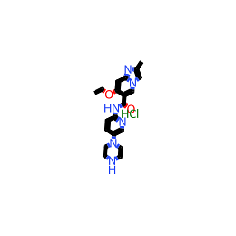 CCOc1cc2nc(C)cn2cc1C(=O)Nc1ccc(N2CCNCC2)cn1.Cl